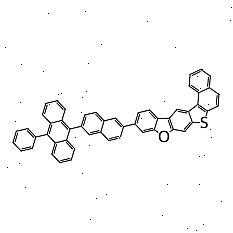 c1ccc(-c2c3ccccc3c(-c3ccc4cc(-c5ccc6c(c5)oc5cc7sc8ccc9ccccc9c8c7cc56)ccc4c3)c3ccccc23)cc1